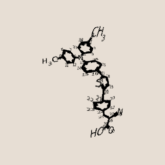 Cc1ccc(N(c2ccc(C)cc2)c2ccc(-c3ccc(-c4ccc(/C=C(\C#N)C(=O)O)cc4)s3)cc2)cc1